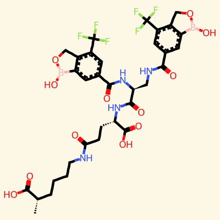 C[C@@H](CCCCNC(=O)CC[C@H](NC(=O)[C@H](CNC(=O)c1cc2c(c(C(F)(F)F)c1)COB2O)NC(=O)c1cc2c(c(C(F)(F)F)c1)COB2O)C(=O)O)C(=O)O